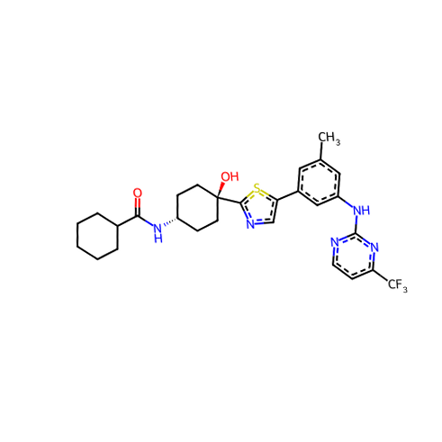 Cc1cc(Nc2nccc(C(F)(F)F)n2)cc(-c2cnc([C@]3(O)CC[C@H](NC(=O)C4CCCCC4)CC3)s2)c1